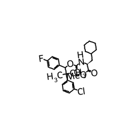 COC(=O)[C@H](CC1CCCCC1)NC(=O)OC(c1ccc(F)cc1)C(C)(C)c1cccc(Cl)c1